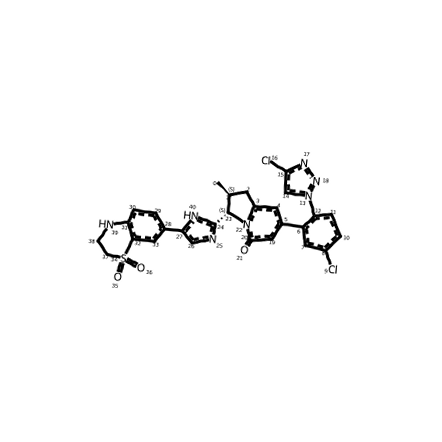 C[C@H]1Cc2cc(-c3cc(Cl)ccc3-n3cc(Cl)nn3)cc(=O)n2[C@@H]1c1ncc(-c2ccc3c(c2)S(=O)(=O)CCN3)[nH]1